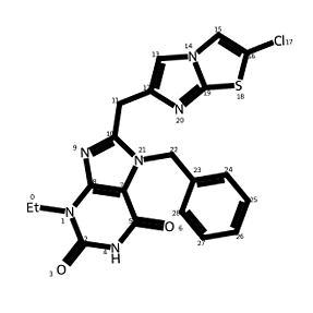 CCn1c(=O)[nH]c(=O)c2c1nc(Cc1cn3cc(Cl)sc3n1)n2Cc1ccccc1